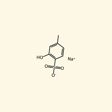 Cc1ccc(S(=O)(=O)[O-])c(O)c1.[Na+]